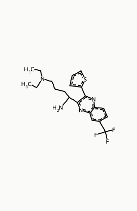 CCN(CC)CCCC(N)c1nc2cc(C(F)(F)F)ccc2nc1-c1cccs1